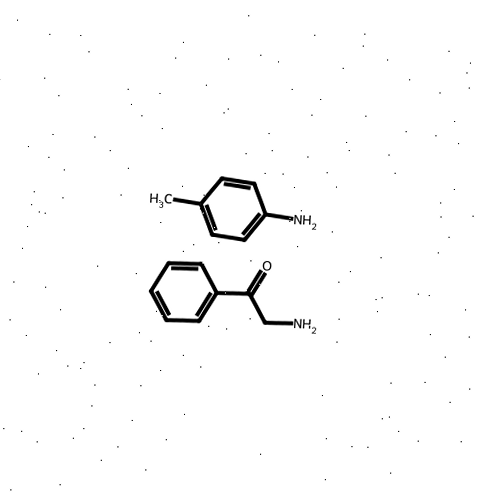 Cc1ccc(N)cc1.NCC(=O)c1ccccc1